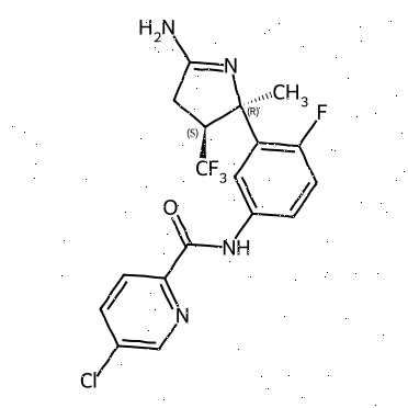 C[C@@]1(c2cc(NC(=O)c3ccc(Cl)cn3)ccc2F)N=C(N)C[C@@H]1C(F)(F)F